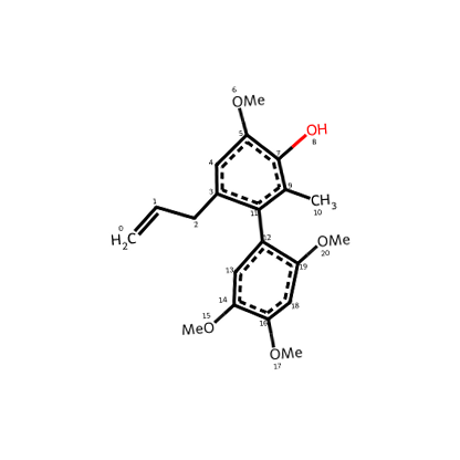 C=CCc1cc(OC)c(O)c(C)c1-c1cc(OC)c(OC)cc1OC